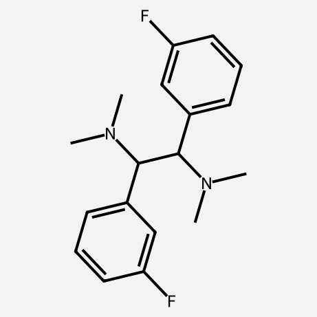 CN(C)C(c1cccc(F)c1)C(c1cccc(F)c1)N(C)C